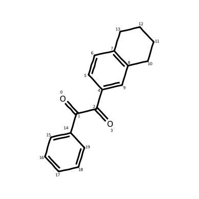 O=C(C(=O)c1ccc2c(c1)CCCC2)c1ccccc1